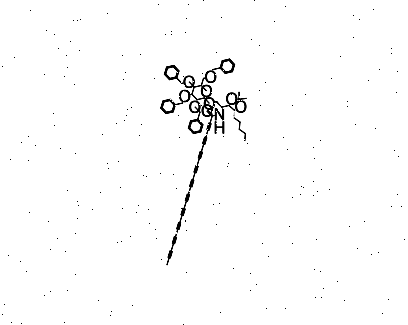 CC#CC#CC#CC#CC#CC#CC#CC#CC#CC#CC(=O)N[C@@H](COC1OC(COCc2ccccc2)C(OCc2ccccc2)C(OCc2ccccc2)C1OCc1ccccc1)[C@@H]1OC(C)(C)O[C@@H]1CCCCC